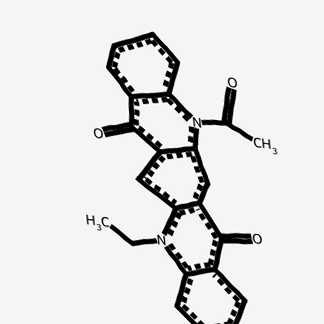 CCn1c2ccccc2c(=O)c2cc3c(cc21)c(=O)c1ccccc1n3C(C)=O